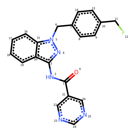 O=C(Nc1nn(Cc2ccc(CF)cc2)c2ccccc12)c1cncnc1